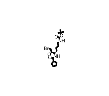 CC(C)(C)OC(=O)NCCCC[C@@H](NC(=O)C1CCCC1)C(=O)CBr